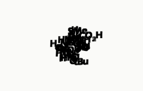 CSCC[C@H](NC(=O)[C@@H](N)Cc1c(C(=O)CONC(=O)OC(C)(C)C)[nH]c2ccccc12)C(=O)N[C@@H](CC(=O)O)C(=O)N[C@@H](Cc1ccccc1)C(=O)NOCC(=O)O